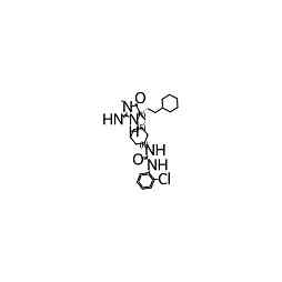 CN1C(=N)N[C@](CCC2CCCCC2)(C[C@H]2CCC[C@@H](NC(=O)Nc3ccccc3Cl)C2)C1=O